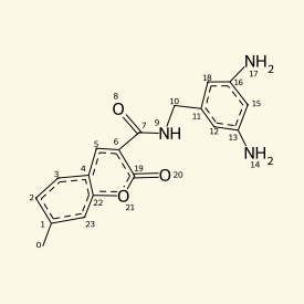 Cc1ccc2cc(C(=O)NCc3cc(N)cc(N)c3)c(=O)oc2c1